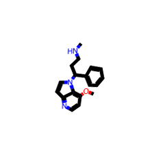 CNCCC(c1ccccc1)n1ccc2nccc(OC)c21